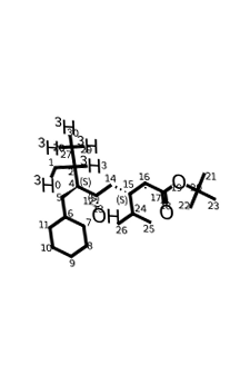 [3H]CC([3H])([C@H](CC1CCCCC1)[C@@H](O)C[C@H]([CH]C(=O)OC(C)(C)C)C(C)C)C([3H])([3H])[3H]